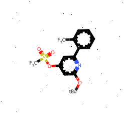 CC(C)(C)Oc1cc(OS(=O)(=O)C(F)(F)F)cc(-c2ccccc2C(F)(F)F)n1